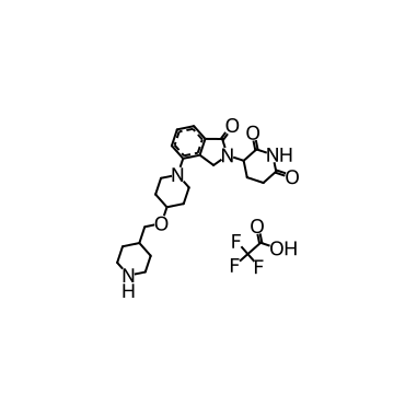 O=C(O)C(F)(F)F.O=C1CCC(N2Cc3c(cccc3N3CCC(OCC4CCNCC4)CC3)C2=O)C(=O)N1